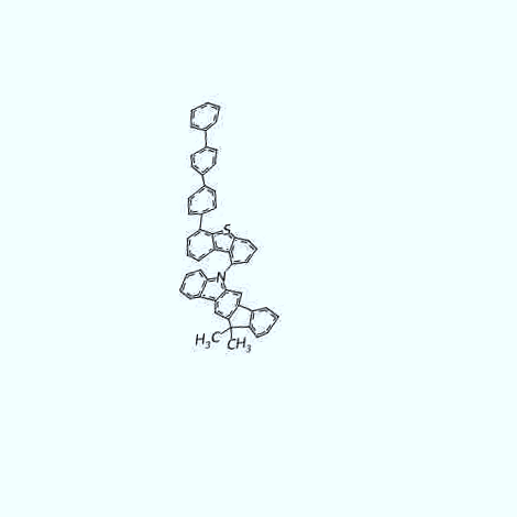 CC1(C)c2ccccc2-c2cc3c(cc21)c1ccccc1n3-c1cccc2sc3c(-c4ccc(-c5ccc(-c6ccccc6)cc5)cc4)cccc3c12